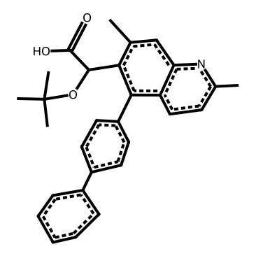 Cc1ccc2c(-c3ccc(-c4ccccc4)cc3)c(C(OC(C)(C)C)C(=O)O)c(C)cc2n1